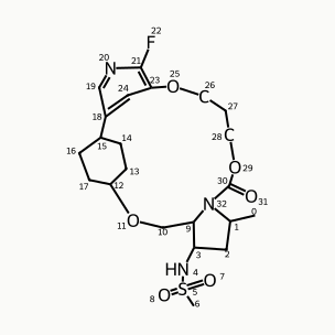 CC1CC(NS(C)(=O)=O)C2COC3CCC(CC3)c3cnc(F)c(c3)OCCCOC(=O)N12